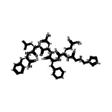 CC(C)C[C@H](NC(=O)[C@H](CC(=O)O)NC(=O)[C@H](CC1CCCCC1)NC(=O)[C@H](CCC(N)=O)NC(=O)CNCn1ccnc1)C(=O)N[C@@H](Cc1ccccc1)C(=O)O